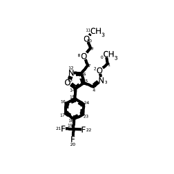 CCO/N=C\c1c(COCOC)noc1-c1ccc(C(F)(F)F)cc1